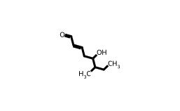 CCC(C)C(O)CC=CC=O